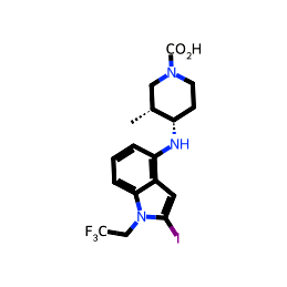 C[C@@H]1CN(C(=O)O)CC[C@@H]1Nc1cccc2c1cc(I)n2CC(F)(F)F